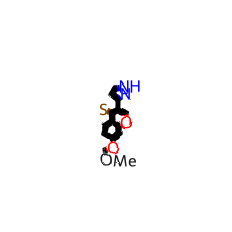 COCOc1ccc2c(=S)c(-c3cc[nH]n3)coc2c1